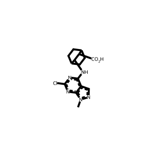 Cn1ncc2c(NC3C4CCC(CC4)C3C(=O)O)nc(Cl)nc21